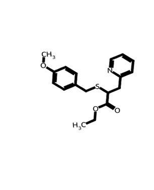 CCOC(=O)C(Cc1ccccn1)SCc1ccc(OC)cc1